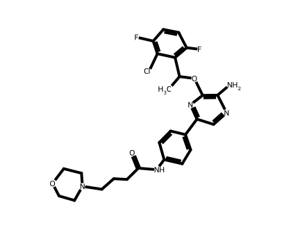 CC(Oc1nc(-c2ccc(NC(=O)CCCN3CCOCC3)cc2)cnc1N)c1c(F)ccc(F)c1Cl